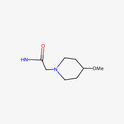 COC1CCN(CC([NH])=O)CC1